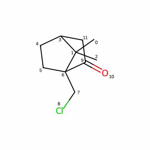 CC1(C)C2CCC1(CCl)C(=O)C2